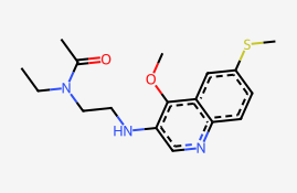 CCN(CCNc1cnc2ccc(SC)cc2c1OC)C(C)=O